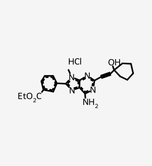 CCOC(=O)c1cccc(-c2nc3c(N)nc(C#CC4(O)CCCCC4)nc3n2C)c1.Cl